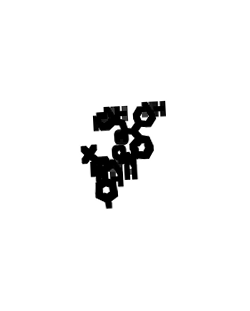 Cc1ccc(-n2nc(C(C)(C)C)cc2NC(=O)Nc2cccc(C(C(=O)Cc3cnc[nH]3)C3CCNCC3)c2)cc1